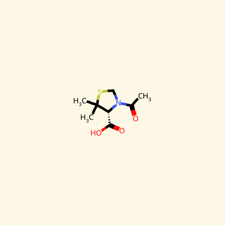 CC(=O)N1CSC(C)(C)[C@H]1C(=O)O